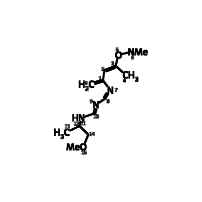 C=C(/C=C(\C)ONC)/N=C\N=C\NC(C)COC